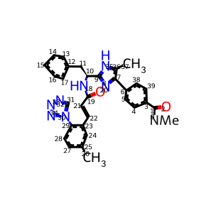 CNC(=O)c1ccc(-c2nc([C@H](Cc3ccccc3)NC(=O)/C=C/c3cc(C)ccc3-n3cnnn3)[nH]c2C)cc1